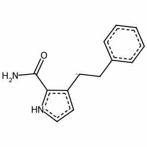 NC(=O)c1[nH]ccc1[CH]Cc1ccccc1